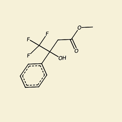 COC(=O)CC(O)(c1ccccc1)C(F)(F)F